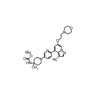 CC1(NC(=O)OC(C)(C)C)CCN(c2ccc(-c3cc(OCCN4CCOCC4)cn4ncc(C#N)c34)nc2)CC1